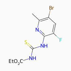 CCOC(=O)NC(=S)Nc1nc(C)c(Br)cc1F